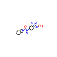 N/C(=N\O)c1ccc(NC(=O)n2cc3ccccc3c2)cc1